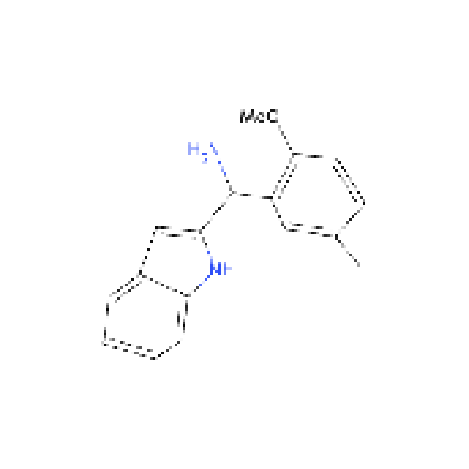 COc1ccc(C)cc1C(N)c1cc2ccccc2[nH]1